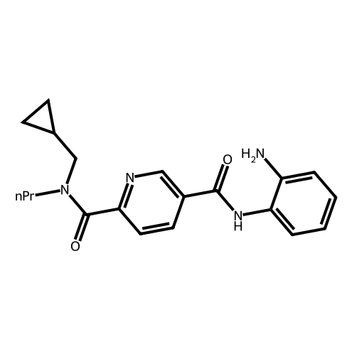 CCCN(CC1CC1)C(=O)c1ccc(C(=O)Nc2ccccc2N)cn1